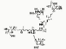 CC(=O)NC1C(OCCCCC(=O)NCCCCC(NC(=O)CCCCOC2OC(CO)C(O)C(O)C2NC(C)=O)C(=O)NCCCCC(NC(=O)C(CCCCNC(=O)CCCCOC(OC(CO)[C@@H](C)O)[C@H](CO)NC(C)=O)NC(=O)CCCCOC(OC(CO)[C@@H](C)O)[C@H](CO)NC(C)=O)C(C)=O)OC(CO)C(O)C1O